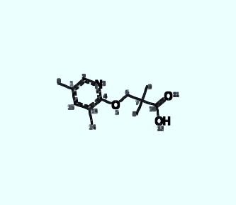 Cc1cnc(OCC(C)(C)C(=O)O)c(C)c1